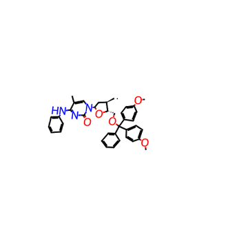 [CH2][C@@H]1C[C@H](n2cc(C)c(Nc3ccccc3)nc2=O)O[C@H]1COC(c1ccccc1)(c1ccc(OC)cc1)c1ccc(OC)cc1